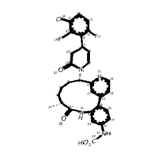 C[C@@H]1CCC[C@H](N2C=CC(c3c(F)ccc(Cl)c3F)CC2=O)c2cc(ccn2)-c2ccc(NC(=O)O)cc2NC1=O